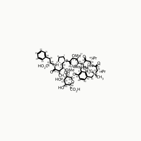 CC[C@H](C)[C@@H]([C@@H](CC(=O)N1CCC[C@H]1[C@H](OC)[C@@H](C)C(=O)N[C@@H](Cc1ccccc1)C(=O)O)OC)N(C)C(=O)[C@@H](NC(=O)[C@H](C(C)C)[N+](C)(C)Cc1ccc(O[C@@H]2O[C@H](C(=O)O)[C@@H](O)[C@H](O)[C@H]2O)c(NC(C)=O)c1)C(C)C